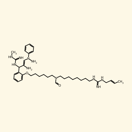 C/C=C/CNC(=N)NCCCCCCCCN(C=O)CCCCCCOc1ccccc1C(NC(=N)NC)/C(N)=C/N(N)c1ccccc1